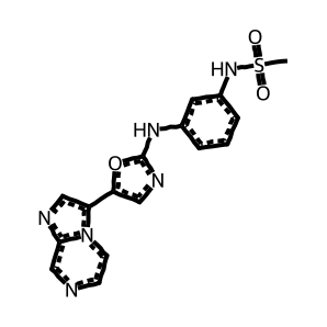 CS(=O)(=O)Nc1cccc(Nc2ncc(-c3cnc4cnccn34)o2)c1